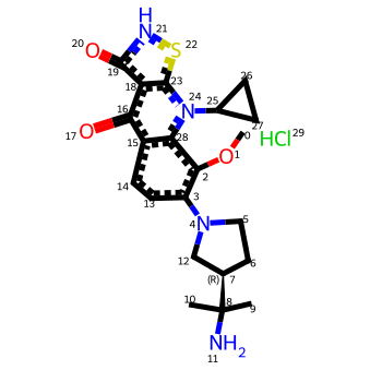 COc1c(N2CC[C@@H](C(C)(C)N)C2)ccc2c(=O)c3c(=O)[nH]sc3n(C3CC3)c12.Cl